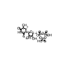 CC1CN([C@@H]2O[C@H](COP3(=O)OP(=O)(O)OP(=O)(O)O3)[C@H](O)C2O)C(=S)NC1=O